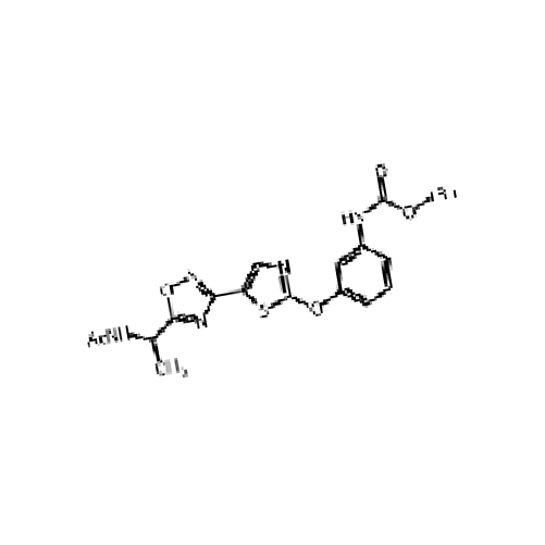 CC(=O)NC(C)c1nc(-c2cnc(Oc3cccc(NC(=O)OC(C)(C)C)c3)s2)no1